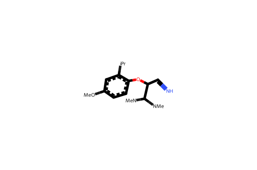 CNC(NC)C(C=N)Oc1ccc(OC)cc1C(C)C